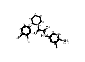 Cc1cc(NC(=O)C(=O)N2CCCC[C@H]2c2ccc(F)c(F)c2)cnc1N